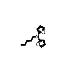 CCCCCN(c1ccco1)c1ccco1